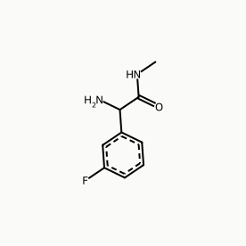 CNC(=O)C(N)c1cccc(F)c1